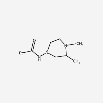 CCC(=O)NN1CCN(C)C(C)C1